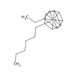 CCCCCC[C]12[CH]3[CH]4[CH]5[CH]1[Fe]45321678[CH]2[CH]1[CH]6[C]7(CC)[CH]28